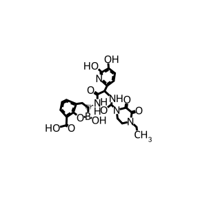 CCN1CCN(C(O)NC(C(=O)N[C@H]2Cc3cccc(C(=O)O)c3OB2O)c2ccc(O)c(O)n2)C(=O)C1=O